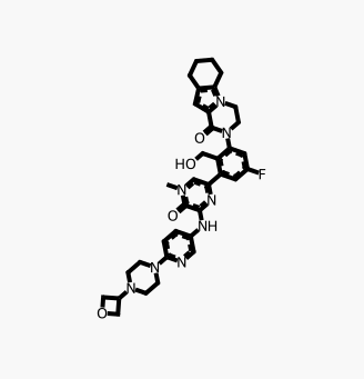 Cn1cc(-c2cc(F)cc(N3CCn4c(cc5c4CCCC5)C3=O)c2CO)nc(Nc2ccc(N3CCN(C4COC4)CC3)nc2)c1=O